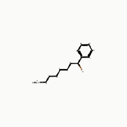 CCCCCCCCCCCCCCCC(Br)c1ccccc1